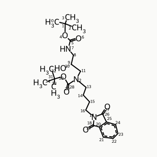 CC(C)(C)OC(=O)NC[C@@H](O)CN(CCCCN1C(=O)c2ccccc2C1=O)C(=O)OC(C)(C)C